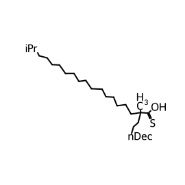 CCCCCCCCCCCCC(C)(CCCCCCCCCCCCCCCC(C)C)C(O)=S